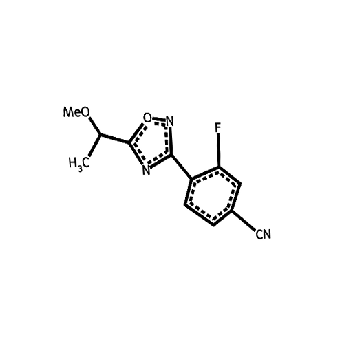 COC(C)c1nc(-c2ccc(C#N)cc2F)no1